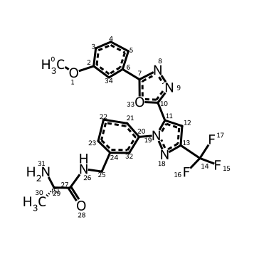 COc1cccc(-c2nnc(-c3cc(C(F)(F)F)nn3-c3cccc(CNC(=O)[C@H](C)N)c3)o2)c1